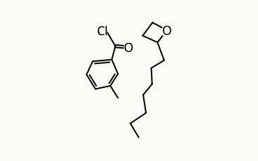 CCCCCCCC1CCO1.Cc1cccc(C(=O)Cl)c1